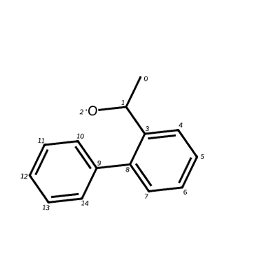 CC([O])c1ccccc1-c1ccccc1